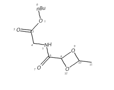 CCCCOC(=O)CNC(=O)C1OC(C)O1